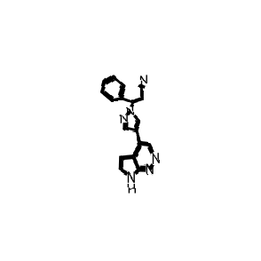 N#CCC(c1ccccc1)n1cc(-c2cnnc3[nH]ccc23)cn1